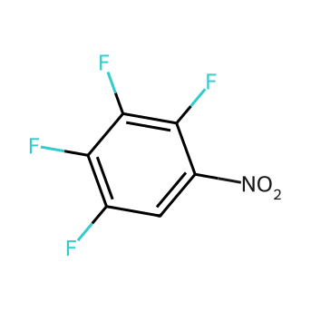 O=[N+]([O-])c1cc(F)c(F)c(F)c1F